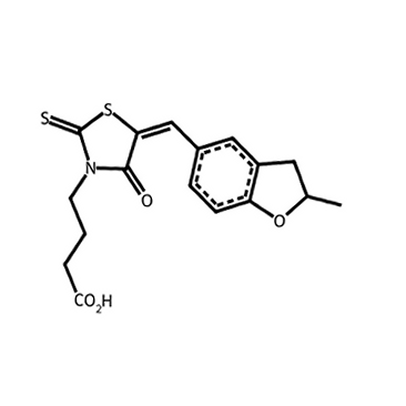 CC1Cc2cc(/C=C3/SC(=S)N(CCCC(=O)O)C3=O)ccc2O1